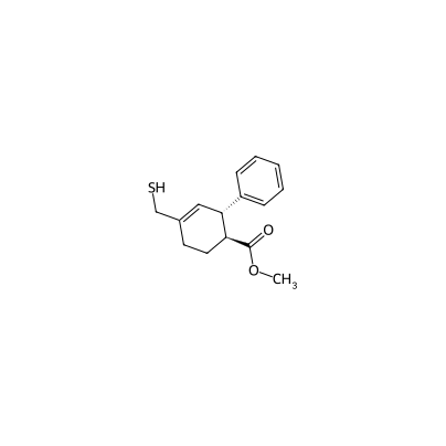 COC(=O)[C@H]1CCC(CS)=C[C@@H]1c1ccccc1